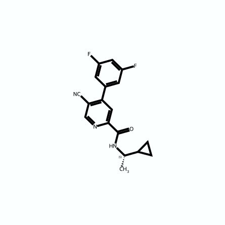 C[C@H](NC(=O)c1cc(-c2cc(F)cc(F)c2)c(C#N)cn1)C1CC1